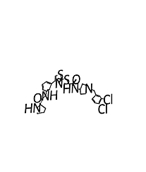 O=C(CSc1nc(-c2cccc(NC(=O)[C@H]3CCCN3)c2)cs1)NC1CCN(Cc2ccc(Cl)c(Cl)c2)CC1